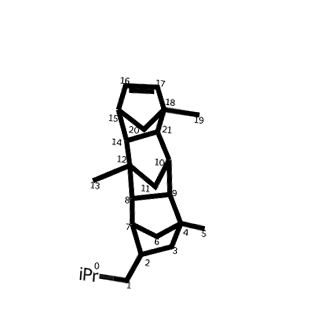 CC(C)CC1CC2(C)CC1C1C2C2CC1(C)C1C3C=CC(C)(C3)C21